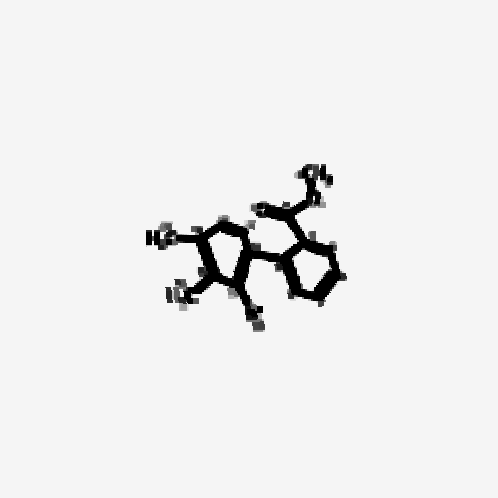 COC(=O)c1ccccc1-c1ccc(C)c(C)c1Br